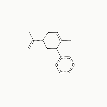 C=C(C)C1CC=C(C)C(c2ccccc2)C1